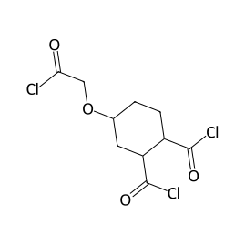 O=C(Cl)COC1CCC(C(=O)Cl)C(C(=O)Cl)C1